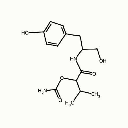 CC(C)C(OC(N)=O)C(=O)NC(CO)Cc1ccc(O)cc1